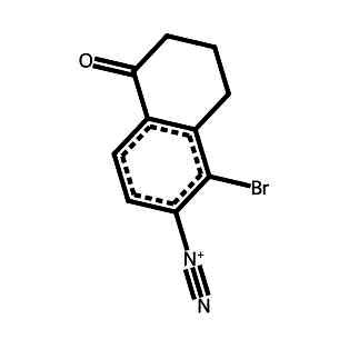 N#[N+]c1ccc2c(c1Br)CCCC2=O